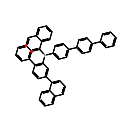 c1ccc(-c2ccc(-c3ccc(N(c4cc(-c5cccc6ccccc56)ccc4-c4ccccc4)c4cccc5ccccc45)cc3)cc2)cc1